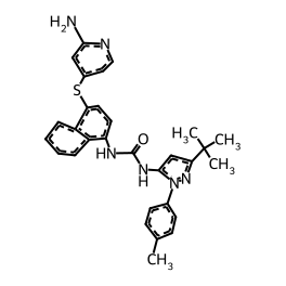 Cc1ccc(-n2nc(C(C)(C)C)cc2NC(=O)Nc2ccc(Sc3ccnc(N)c3)c3ccccc23)cc1